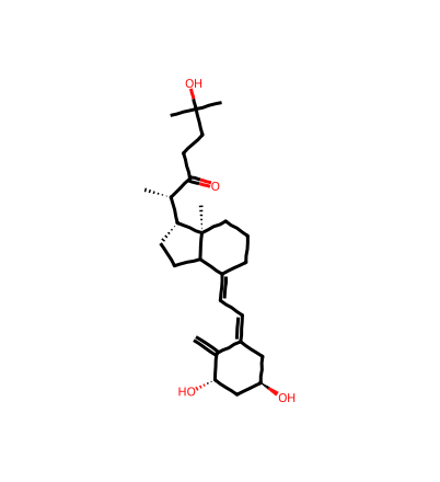 C=C1C(=CC=C2CCC[C@@]3(C)C2CC[C@@H]3[C@H](C)C(=O)CCC(C)(C)O)C[C@@H](O)C[C@@H]1O